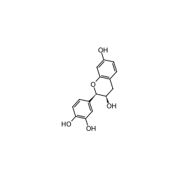 Oc1ccc2c(c1)O[C@H](c1ccc(O)c(O)c1)[C@H](O)C2